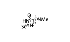 CNCC1=C[N]C(=[Se])NC1=O